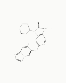 Cn1c(=O)n(C2CCOCC2)c2nc(Nc3cn4ncnc4cc3Cl)ncc21